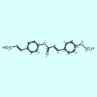 O=C(O)C=Cc1ccc(OC(=O)C=Cc2ccc(OS(=O)(=O)O)cc2)cc1